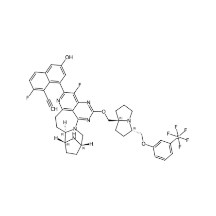 C#Cc1c(F)ccc2cc(O)cc(-c3nc4c5c(nc(OC[C@@]67CCCN6[C@H](COc6cccc(S(F)(F)(F)(F)F)c6)CC7)nc5c3F)N3C[C@@H]5CC[C@@H](N5)[C@H]3CC4)c12